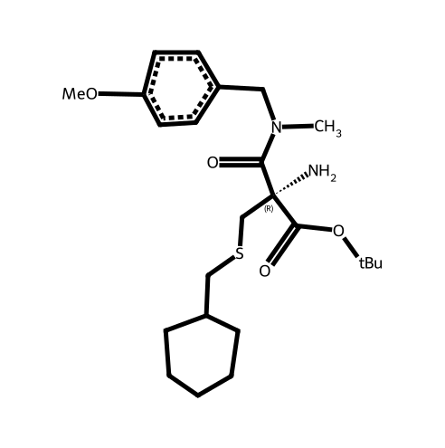 COc1ccc(CN(C)C(=O)[C@](N)(CSCC2CCCCC2)C(=O)OC(C)(C)C)cc1